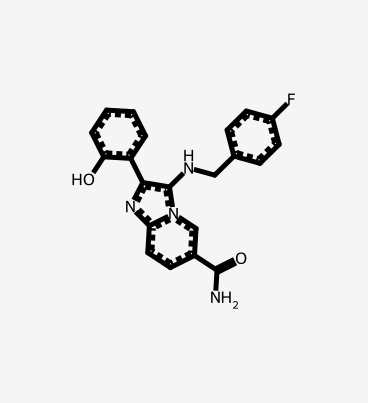 NC(=O)c1ccc2nc(-c3ccccc3O)c(NCc3ccc(F)cc3)n2c1